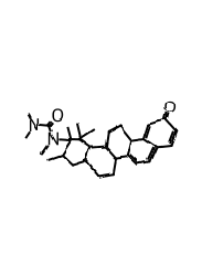 CC1CC2CCC3C4=CC=C5C=CC(=O)C=C5C4CCC3C2C(C)(C)C1(C)N(C)C(=O)N(C)C